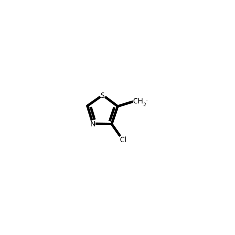 [CH2]c1scnc1Cl